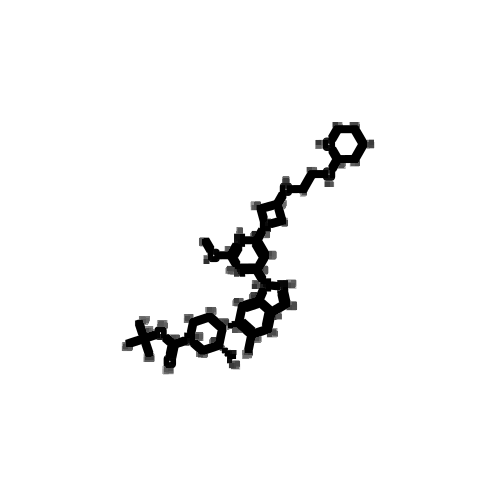 COc1nc(N2CC(OCCOC3CCCCO3)C2)cc(-n2ncc3cc(C)c([C@H]4CCN(C(=O)OC(C)(C)C)C[C@H]4F)cc32)n1